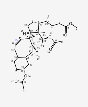 COC(=O)CC[C@@H](C)[C@H]1CC[C@H]2[C@@H]3/C=C\CC4CC[C@@H](OC(C)=O)CC4[C@@H](C)[C@H]3C[C@H](OC(C)=O)[C@]12C